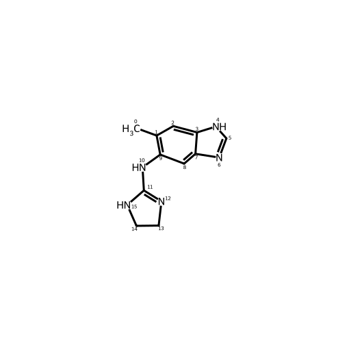 Cc1cc2[nH]cnc2cc1NC1=NCCN1